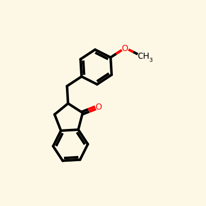 COc1ccc(CC2Cc3ccccc3C2=O)cc1